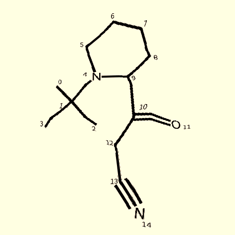 CC(C)(C)N1CCCCC1C(=O)CC#N